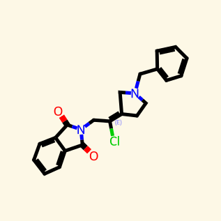 O=C1c2ccccc2C(=O)N1C/C(Cl)=C1/CCN(Cc2ccccc2)C1